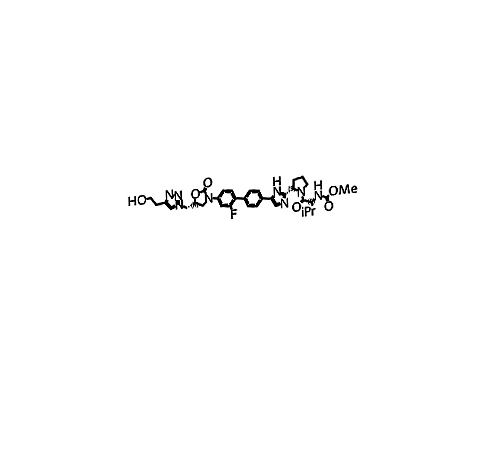 COC(=O)N[C@H](C(=O)N1CCC[C@H]1c1ncc(-c2ccc(-c3ccc(N4C[C@H](Cn5cc(CCO)nn5)OC4=O)cc3F)cc2)[nH]1)C(C)C